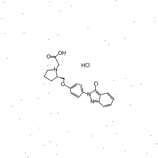 Cl.O=C(O)CN1CCC[C@@H]1COc1ccc(-n2nc3ccccc3c2Cl)cc1